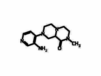 CN1CCN2CCN(c3ccncc3N)CC2C1=O